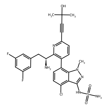 Cn1nc(NS(N)(=O)=O)c2c(Cl)ccc(-c3ccc(C#CC(C)(C)O)nc3[C@@H](N)Cc3cc(F)cc(F)c3)c21